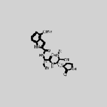 CCNC(C#N)[C@H](C[C@@H]1CCNC1=O)NC(=O)[C@H](CC(C)C)NC(=O)c1cc2c(OC)cccc2[nH]1